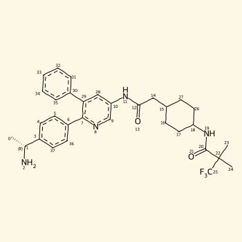 C[C@@H](N)c1ccc(-c2ncc(NC(=O)CC3CCC(NC(=O)C(C)(C)C(F)(F)F)CC3)cc2-c2ccccc2)cc1